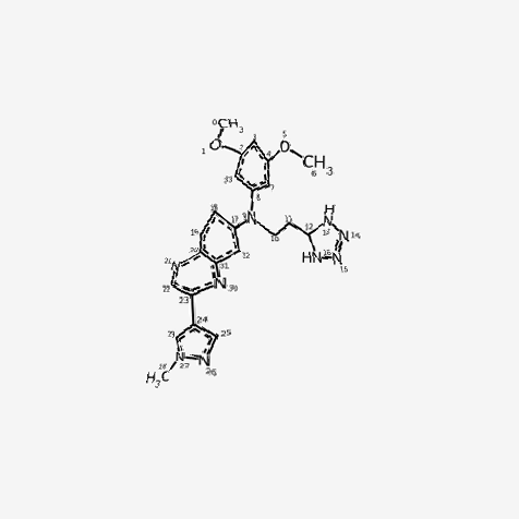 COc1cc(OC)cc(N(CCC2NN=NN2)c2ccc3ncc(-c4cnn(C)c4)nc3c2)c1